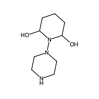 OC1CCCC(O)N1N1CCNCC1